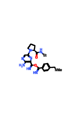 CCNC(=O)[C@@H]1CCCN1c1cnc(N)c(C(=N)OC(=N)c2ccc(CNC)cc2)n1